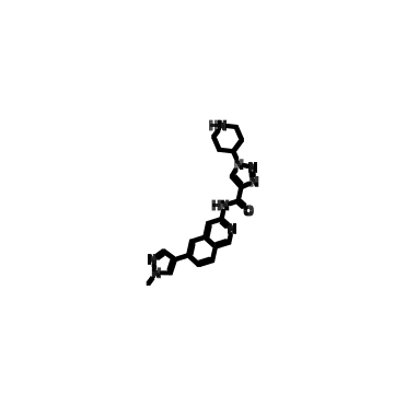 Cn1cc(-c2ccc3cnc(NC(=O)c4cn(C5CCNCC5)nn4)cc3c2)cn1